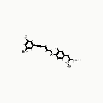 CCO[C@@H](Cc1ccc(OCC=CC#Cc2cc(Br)cc(Br)c2)c(Cl)c1)C(=O)O